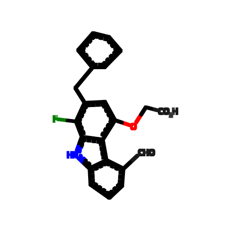 O=Cc1cccc2[nH]c3c(F)c(Cc4ccccc4)cc(OCC(=O)O)c3c12